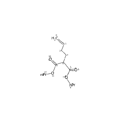 C=CCCC(C(=O)OCCC)C(=O)OCCC